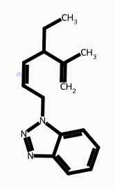 C=C(C)C(/C=C\Cn1nnc2ccccc21)CC